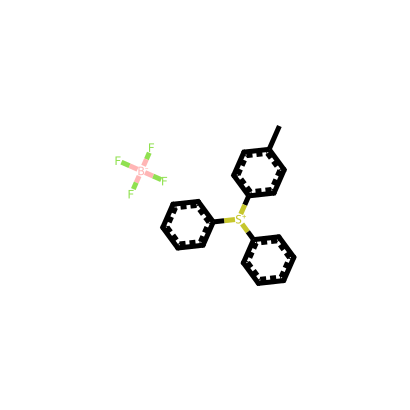 Cc1ccc([S+](c2ccccc2)c2ccccc2)cc1.F[B-](F)(F)F